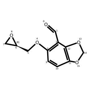 O=Cc1c(OC[C@H]2CO2)ccc2c1OCO2